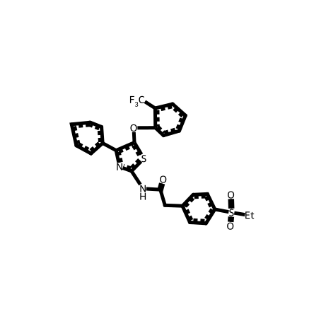 CCS(=O)(=O)c1ccc(CC(=O)Nc2nc(-c3ccccc3)c(Oc3ccccc3C(F)(F)F)s2)cc1